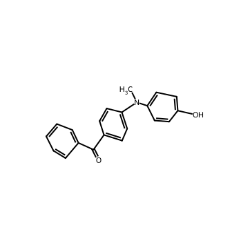 CN(c1ccc(O)cc1)c1ccc(C(=O)c2ccccc2)cc1